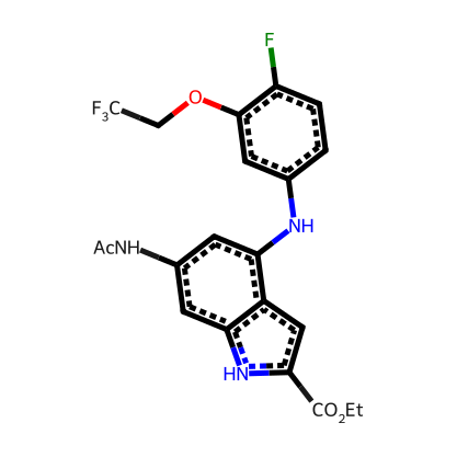 CCOC(=O)c1cc2c(Nc3ccc(F)c(OCC(F)(F)F)c3)cc(NC(C)=O)cc2[nH]1